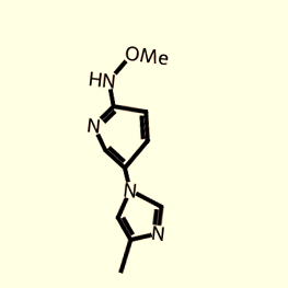 CONc1ccc(-n2cnc(C)c2)cn1